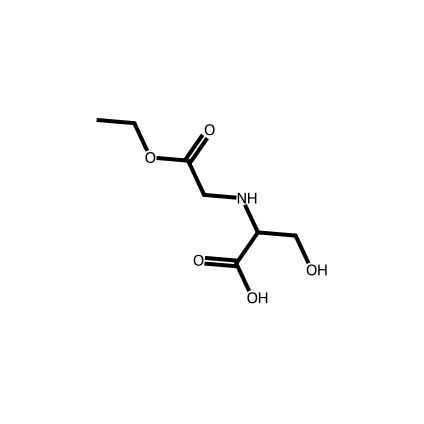 CCOC(=O)CNC(CO)C(=O)O